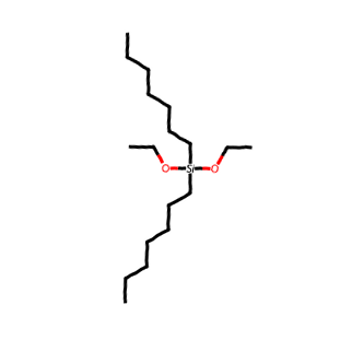 CCCCCCC[Si](CCCCCCC)(OCC)OCC